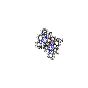 N#Cc1cc(-c2cc(-n3c4ccccc4c4ccc5c6ccccc6n(-c6ccccc6)c5c43)c(C#N)cc2-n2c3ccccc3c3ccc4c5ccccc5n(-c5ccccc5)c4c32)cc(C(F)(F)F)c1